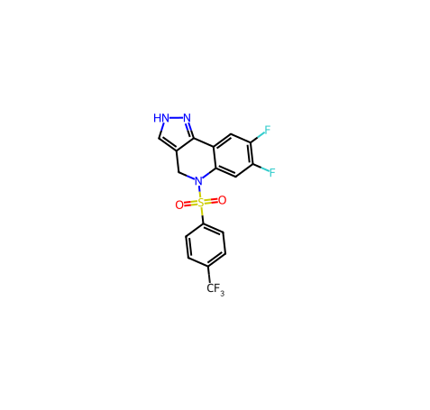 O=S(=O)(c1ccc(C(F)(F)F)cc1)N1Cc2c[nH]nc2-c2cc(F)c(F)cc21